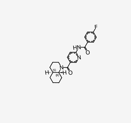 O=C(Nc1ccc(C(=O)N2CCC[C@@H]3CCCC[C@H]32)cn1)c1ccc(F)cc1